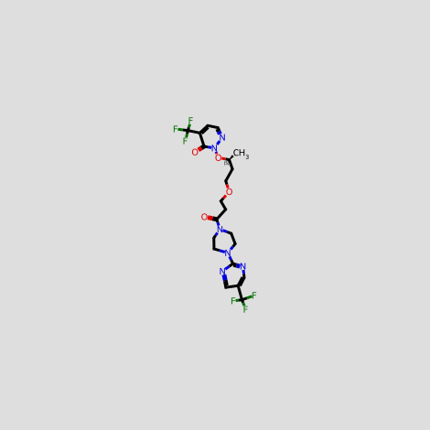 C[C@@H](CCOCCC(=O)N1CCN(c2ncc(C(F)(F)F)cn2)CC1)On1nccc(C(F)(F)F)c1=O